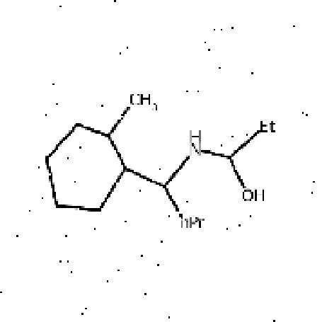 CCCC(NC(O)CC)C1CCCCC1C